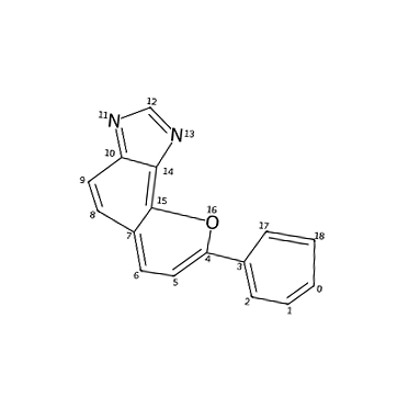 c1ccc(-c2ccc3ccc4ncnc4c3o2)cc1